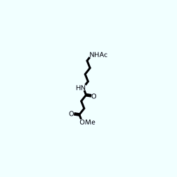 COC(=O)CCC(=O)NCCCCNC(C)=O